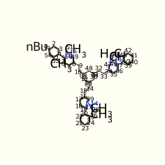 CCCCc1ccc(-c2ccc(CC[C@@H]3C[C@H](CCc4ccc(-c5ccccc5C)[n+](C)c4)C[C@H](CCc4ccc(-c5ccccc5C)[n+](C)c4)C3)c[n+]2C)c(C)c1